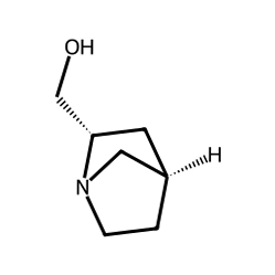 OC[C@@H]1C[C@H]2CCN1C2